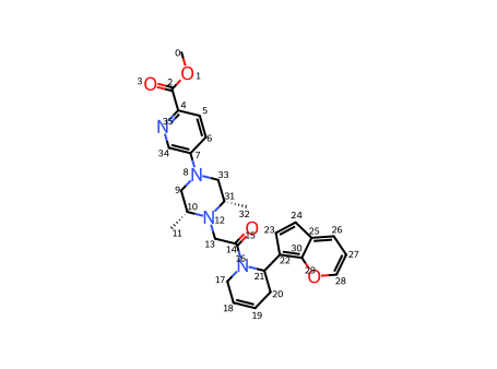 COC(=O)c1ccc(N2C[C@@H](C)N(CC(=O)N3CC=CCC3c3ccc4cccoc3-4)[C@@H](C)C2)cn1